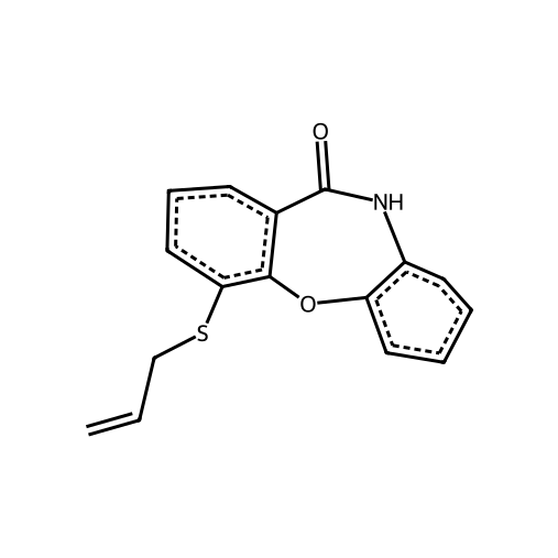 C=CCSc1cccc2c1Oc1ccccc1NC2=O